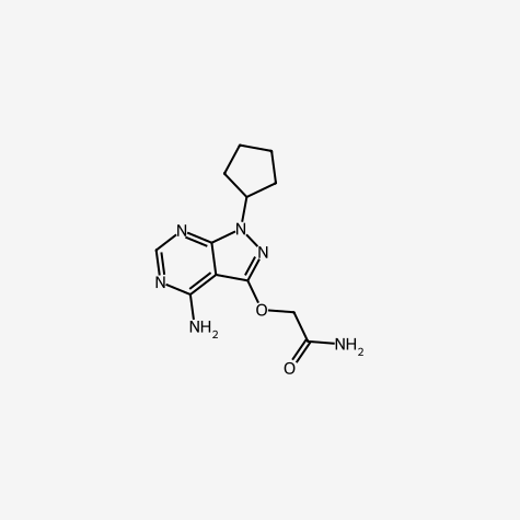 NC(=O)COc1nn(C2CCCC2)c2ncnc(N)c12